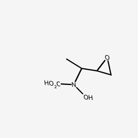 CC(C1CO1)N(O)C(=O)O